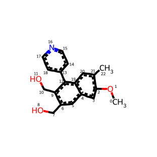 COc1cc2cc(CO)c(CO)c(-c3ccncc3)c2cc1C